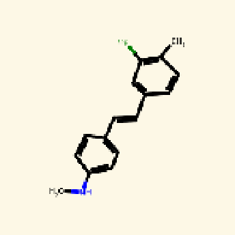 CNc1ccc(/C=C/c2ccc(C)c([18F])c2)cc1